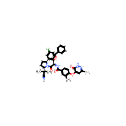 Cc1cc(Oc2ccc(C(=O)N[C@H](COCc3ccccc3)C(=O)N3[C@H](c4cccc(Cl)c4)CC[C@@H]3C(C)(C)C#N)cc2C)c(=O)[nH]n1